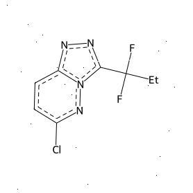 CCC(F)(F)c1nnc2ccc(Cl)nn12